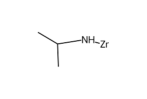 CC(C)[NH][Zr]